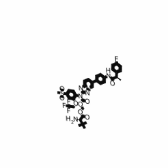 C[C@@H](C(=O)Nc1ccc(-c2ccc3nc(N(C(=O)OCOC(=O)[C@@H](N)C(C)(C)C)c4ccc(S(C)(=O)=O)cc4OCC(F)(F)F)nn3c2)cc1)c1ccc(F)cc1